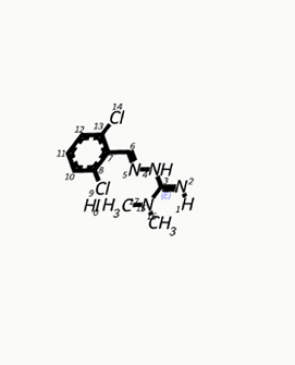 I.[H]/N=C(/NN=Cc1c(Cl)cccc1Cl)N(C)C